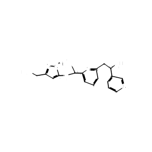 CCc1cc(CC(C)c2cccc(CC(C)c3cccnc3)n2)n(C)n1